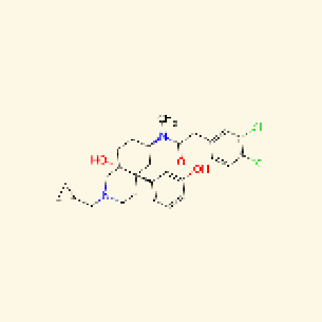 CN(C(=O)Cc1ccc(Cl)c(Cl)c1)[C@@H]1CC[C@]2(O)CN(CC3CC3)CC[C@@]2(c2cccc(O)c2)C1